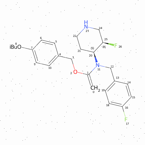 C=C(OCc1ccc(OCC(C)C)cc1)N(Cc1ccc(F)cc1)[C@H]1CCNC[C@H]1F